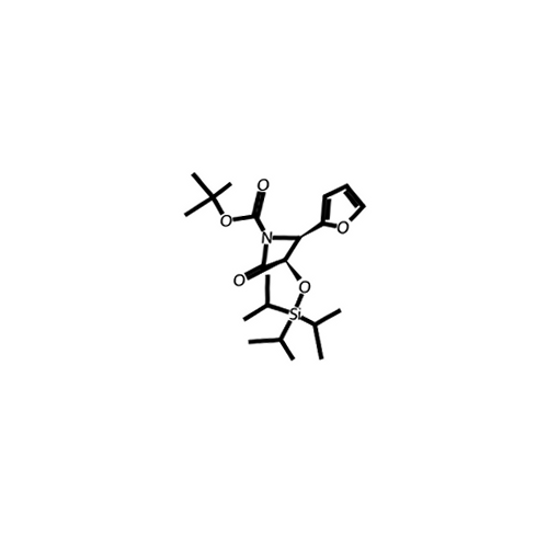 CC(C)[Si](O[C@H]1C(=O)N(C(=O)OC(C)(C)C)[C@H]1c1ccco1)(C(C)C)C(C)C